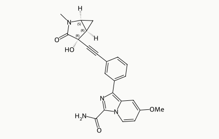 COc1ccn2c(C(N)=O)nc(-c3cccc(C#C[C@@]4(O)C(=O)N(C)[C@H]5C[C@H]54)c3)c2c1